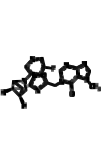 Cn1cnc2ncn(Cc3nc([C@@]45C6[C@H]4[C@H]5CN6c4cncc(F)c4)no3)c(=O)c21